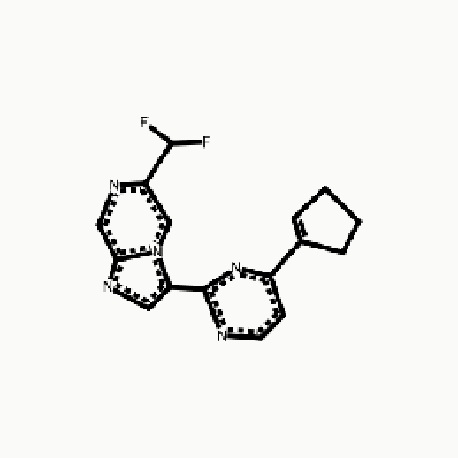 FC(F)c1cn2c(-c3nccc(C4=CCCC4)n3)cnc2cn1